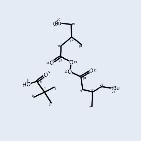 CC(C)(C)C(=O)O.CC(CC(=O)OOC(=O)CC(C)CC(C)(C)C)CC(C)(C)C